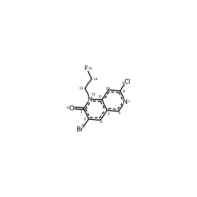 O=c1c(Br)cc2cnc(Cl)cc2n1CCF